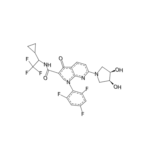 O=C(NC(C1CC1)C(F)(F)F)c1cn(-c2c(F)cc(F)cc2F)c2nc(N3C[C@@H](O)[C@@H](O)C3)ccc2c1=O